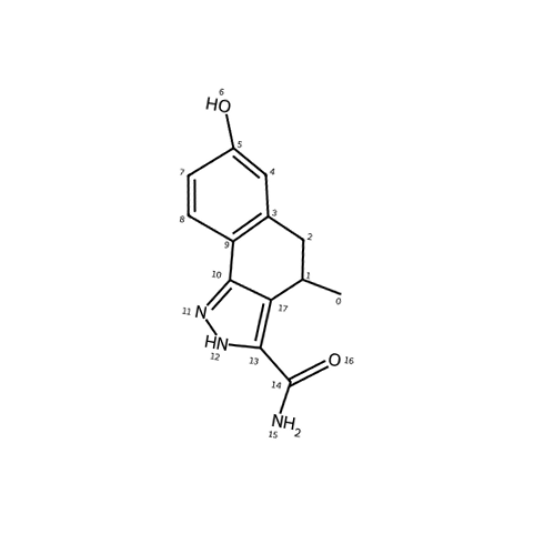 CC1Cc2cc(O)ccc2-c2n[nH]c(C(N)=O)c21